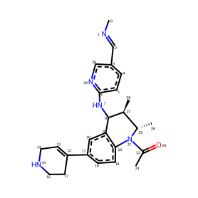 C/N=C/c1ccc(NC2c3cc(C4=CCNCC4)ccc3N(C(C)=O)[C@@H](C)[C@@H]2C)nc1